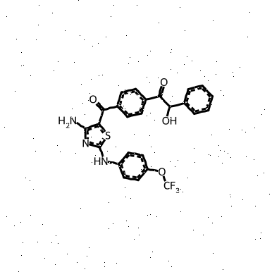 Nc1nc(Nc2ccc(OC(F)(F)F)cc2)sc1C(=O)c1ccc(C(=O)C(O)c2ccccc2)cc1